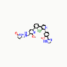 COc1cc(-c2nccc(-c3cccc(-c4ccc(CNC[C@@H]5CCC(=O)N5)c(OC)n4)c3Cl)c2Cl)ccc1C1=NCCN1